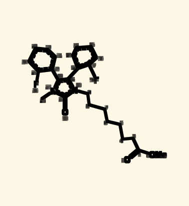 COC(=O)CCCCCCCn1c(-c2ccccc2F)c(-c2ccccc2F)n(C)c1=O